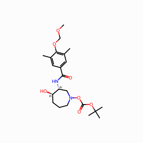 COCOc1c(C)cc(C(=O)N[C@@H]2CN(OC(=O)OC(C)(C)C)CCC[C@H]2O)cc1C